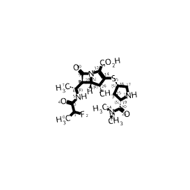 CC(F)C(=O)N[C@H](C)[C@H]1C(=O)N2C(C(=O)O)=C(S[C@@H]3CN[C@H](C(=O)N(C)C)C3)[C@H](C)[C@H]12